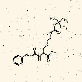 CC(C)(C)OC(=O)NCCSC[C@H](NC(=O)OCc1ccccc1)C(=O)O